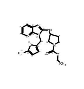 CCOC(=O)N1CCC(Nc2nc3cccnc3n2Cc2ccc(C)o2)C1